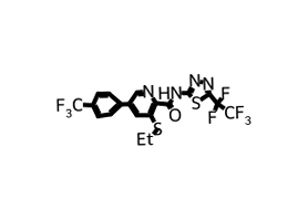 CCSc1cc(-c2ccc(C(F)(F)F)cc2)cnc1C(=O)Nc1nnc(C(F)(F)C(F)(F)F)s1